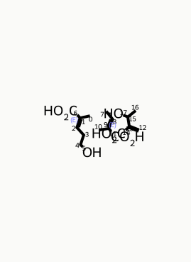 C/C(=C\CCO)C(=O)O.C/C=C(\C)C(=O)O.C=C(C(=O)O)C(C)O